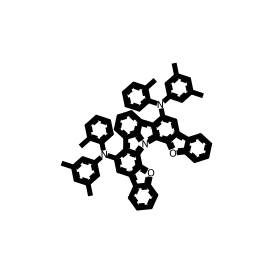 Cc1cc(C)cc(N(c2ccccc2C)c2cc3c4ccccc4oc3c3c2c2cccc4c5c(N(c6cc(C)cc(C)c6)c6ccccc6C)cc6c7ccccc7oc6c5n3c24)c1